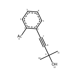 CC(=O)c1ccccc1C#CC(C)(C)O